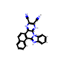 N#Cc1nc2c3ccc4ccccc4c3c3nc4ccccc4n3c2nc1C#N